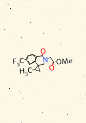 COC(=O)CN1CC2(CC2C)c2cc(C(F)(F)F)ccc2C1=O